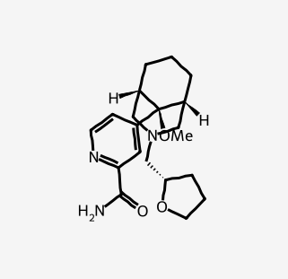 CO[C@]1(c2ccnc(C(N)=O)c2)[C@@H]2CCC[C@H]1CN(C[C@@H]1CCCO1)C2